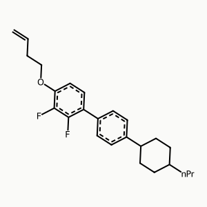 C=CCCOc1ccc(-c2ccc(C3CCC(CCC)CC3)cc2)c(F)c1F